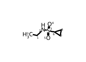 CCNS(=O)(=O)C1CC1